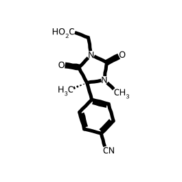 CN1C(=O)N(CC(=O)O)C(=O)[C@]1(C)c1ccc(C#N)cc1